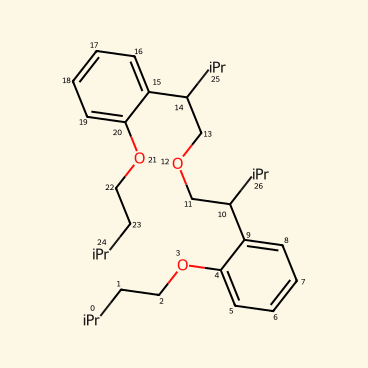 CC(C)CCOc1ccccc1C(COCC(c1ccccc1OCCC(C)C)C(C)C)C(C)C